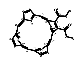 CCC(=O)C1=C(C(=O)CC)C2=NC1=CC1=NC(=CC3=NC(=CC4=NC(=C2)C=C4)C=C3)C=C1